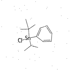 C[CH](C)[Sn]([Cl])([c]1ccccc1)[C](C)(C)C